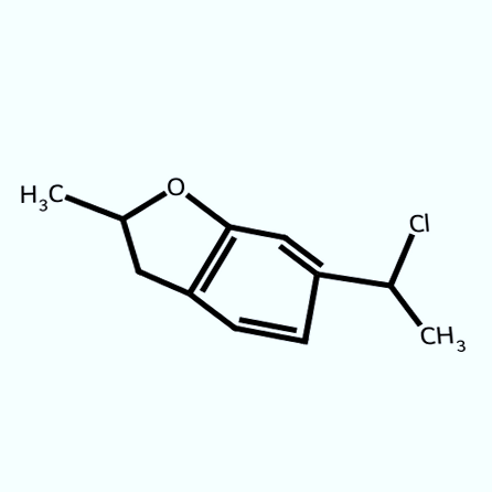 CC1Cc2ccc(C(C)Cl)cc2O1